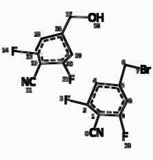 N#Cc1c(F)cc(CBr)cc1F.N#Cc1c(F)cc(CO)cc1F